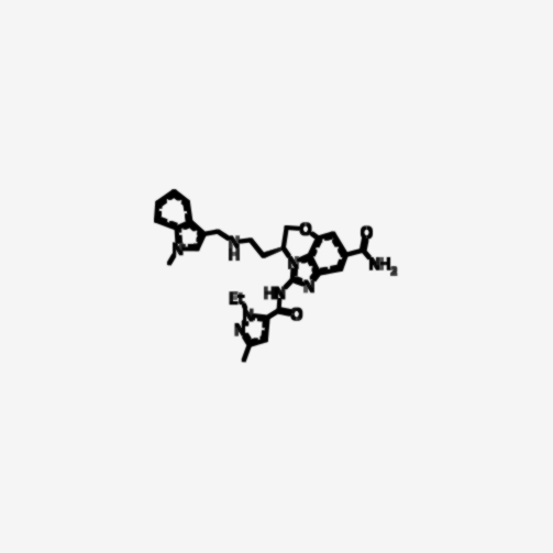 CCn1nc(C)cc1C(=O)Nc1nc2cc(C(N)=O)cc3c2n1[C@@H](CCNCc1cn(C)c2ccccc12)CO3